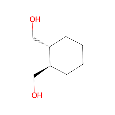 OC[C@@H]1CCCC[C@H]1CO